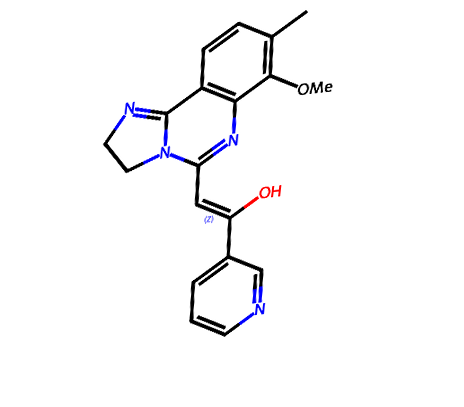 COc1c(C)ccc2c1N=C(/C=C(\O)c1cccnc1)N1CCN=C21